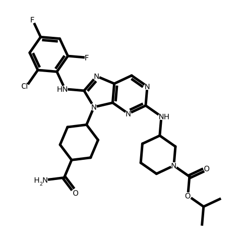 CC(C)OC(=O)N1CCCC(Nc2ncc3nc(Nc4c(F)cc(F)cc4Cl)n(C4CCC(C(N)=O)CC4)c3n2)C1